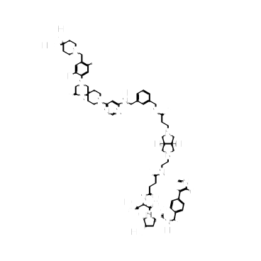 Cc1ncsc1-c1ccc([C@H](C)NC(=O)[C@@H]2C[C@@H](O)CN2C(=O)[C@@H](NC(=O)CCC(=O)NCCN2C[C@@H]3CN(CCC(=O)NCc4cccc(CNc5cc(N6CCC7(CC6)CN(c6cc(F)c(CN8CCC(C)(C)CC8)cc6F)CC(=O)N7)ncn5)c4)C[C@@H]3C2)C(C)(C)C)cc1